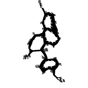 CCCC1CCc2c(ccc3ccc(F)cc23)C1c1ccc(C(F)(F)F)cc1